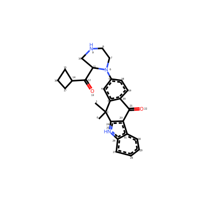 CC1(C)c2cc(N3CCNCC3C(=O)C3CCC3)ccc2C(=O)c2c1[nH]c1ccccc21